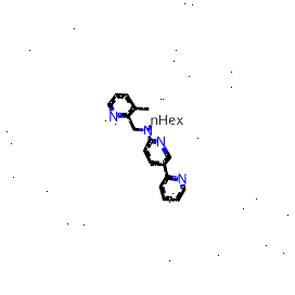 CCCCCCN(Cc1ncccc1C)c1ccc(-c2ccccn2)cn1